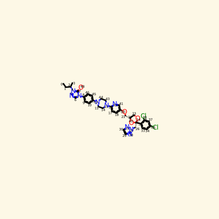 CCC(C)n1ncn(-c2ccc(N3CCN(c4ccc(OC[C@@H]5CO[C@@](Cn6nccn6)(c6ccc(Cl)cc6Cl)O5)cn4)CC3)cc2)c1=O